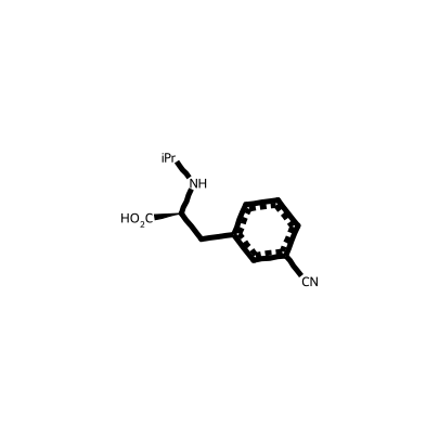 CC(C)N[C@@H](Cc1cccc(C#N)c1)C(=O)O